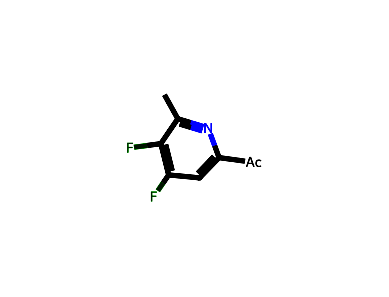 CC(=O)c1cc(F)c(F)c(C)n1